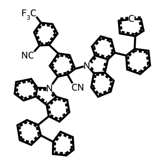 N#Cc1cc(C(F)(F)F)ccc1-c1cc(-n2c3ccccc3c3c(-c4ccccc4-c4ccccc4)cccc32)c(C#N)c(-n2c3ccccc3c3c(-c4ccccc4-c4ccccc4)cccc32)c1